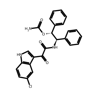 NC(=O)O[C@H](c1ccccc1)[C@H](NC(=O)C(=O)c1c[nH]c2ccc(Cl)cc12)c1ccccc1